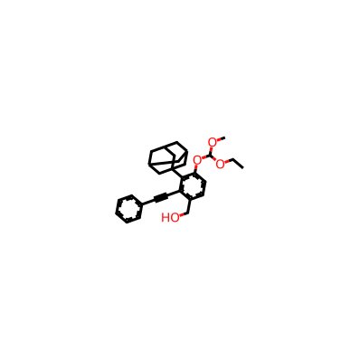 CCOC(OC)Oc1ccc(CO)c(C#Cc2ccccc2)c1C12CC3CC(CC(C3)C1)C2